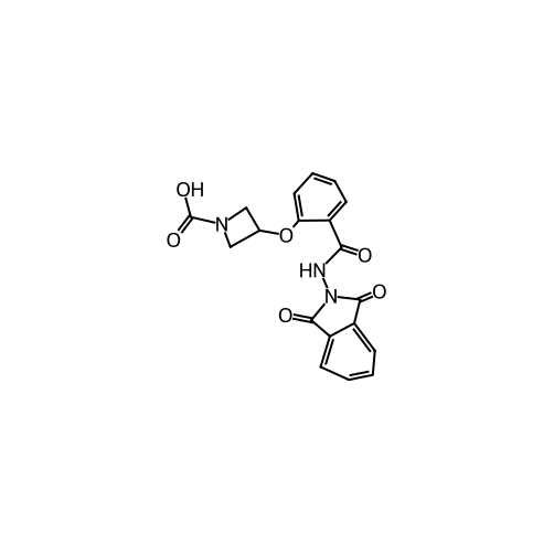 O=C(NN1C(=O)c2ccccc2C1=O)c1ccccc1OC1CN(C(=O)O)C1